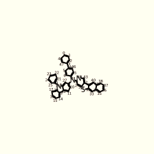 c1ccc(-c2ccc(N(c3ccc4c5ccccc5n(-c5ccccc5)c4c3)c3cc4sc5cc6ccccc6cc5c4cn3)cc2)cc1